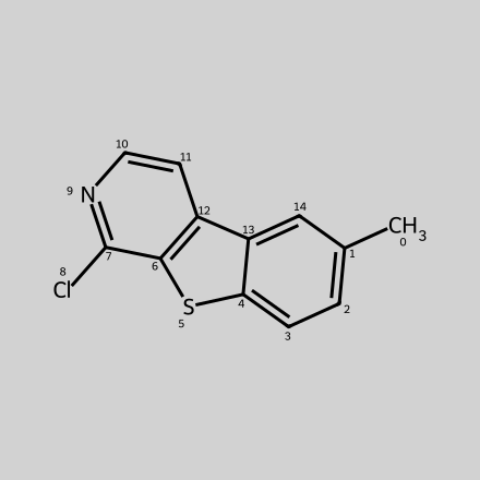 Cc1ccc2sc3c(Cl)nccc3c2c1